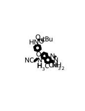 CC(C)(C)OC(=O)NC1CCC(Oc2ccc3c(c2NCCC#N)CC(C)(C)c2c(N)ncnc2-3)CC1